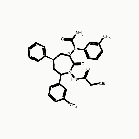 Cc1cccc(C2C[C@@H](c3ccccc3)C[C@@H](N(C(N)=O)c3cccc(C)c3)C(=O)N2NC(=O)CC(C)(C)C)c1